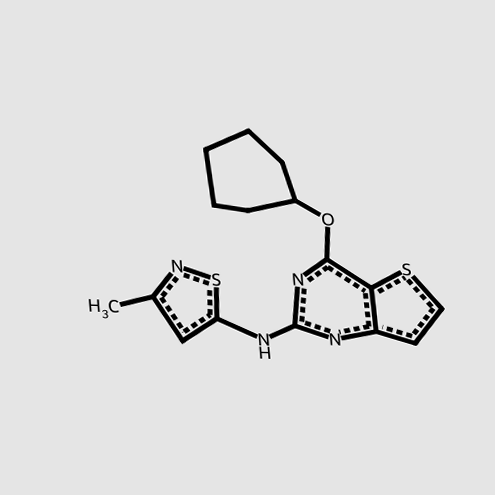 Cc1cc(Nc2nc(OC3CCCCC3)c3sccc3n2)sn1